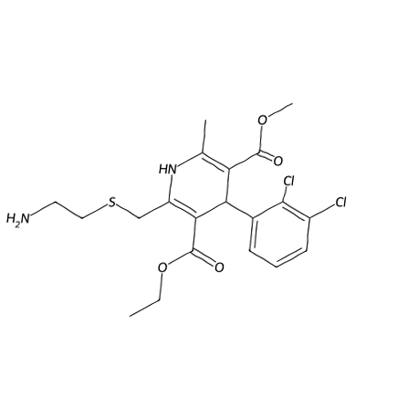 CCOC(=O)C1=C(CSCCN)NC(C)=C(C(=O)OC)C1c1cccc(Cl)c1Cl